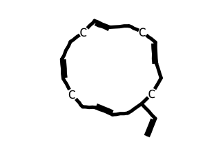 C=CC1C/C=C/CC/C=C\CC/C=C/CC/C=C/CC1